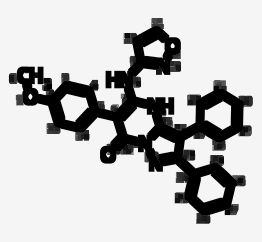 COc1ccc(-c2c(Nc3ccon3)[nH]c3c(-c4ccccc4)c(-c4ccccc4)nn3c2=O)cc1